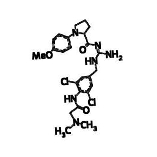 COc1ccc(N2CCCC2C(=O)N=C(N)NCc2cc(Cl)c(NC(=O)CN(C)C)c(Cl)c2)cc1